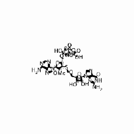 CO[C@@H]1[C@H](SCOC[C@H]2O[C@@H](n3cnc4c(=O)[nH]c(N)nc43)[C@H](O)[C@@H]2O)[C@@H](COP(=O)(O)OP(=O)(O)OP(=O)(O)O)O[C@H]1n1cnc2c(N)ncnc21